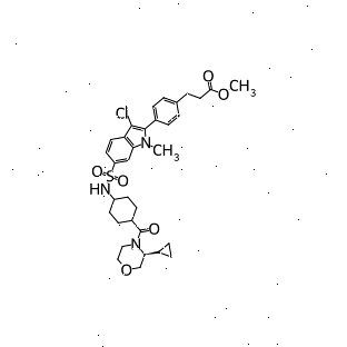 COC(=O)CCc1ccc(-c2c(Cl)c3ccc(S(=O)(=O)NC4CCC(C(=O)N5CCOC[C@@H]5C5CC5)CC4)cc3n2C)cc1